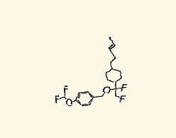 C/C=C/CCC1CCC(C(F)(CF)OCc2ccc(OC(F)F)cc2)CC1